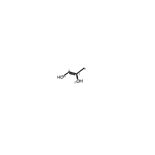 [CH2]C(O)=CO